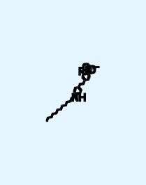 CCCCCCCCCCCCNc1ccc(C=Cc2ccc([N+](=O)[O-])c(F)c2)cc1